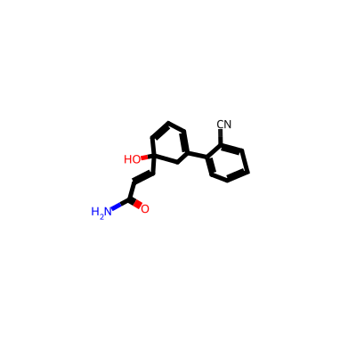 N#Cc1ccccc1C1=CC=CC(O)(C=CC(N)=O)C1